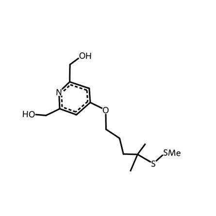 CSSC(C)(C)CCCOc1cc(CO)nc(CO)c1